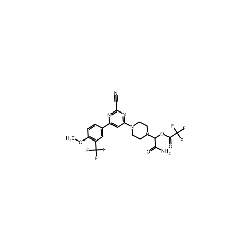 COc1ccc(-c2cc(N3CCN(C(OC(=O)C(F)(F)F)C(N)=O)CC3)nc(C#N)n2)cc1C(F)(F)F